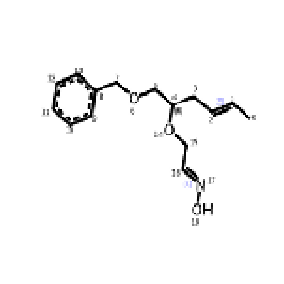 C/C=C/C[C@H](COCc1ccccc1)OC/C=N/O